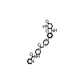 O=C1CCC(Nc2ccc(N3CCN(CC(=O)N4CCC(NC(=O)c5ccccn5)CC4)CC3)cc2)C(=O)N1